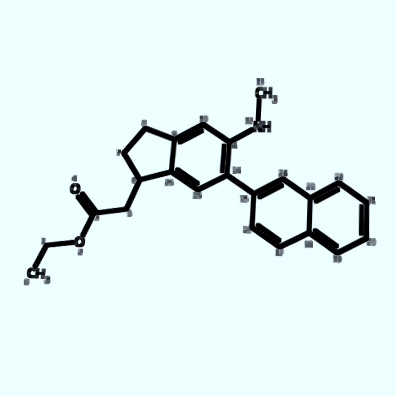 CCOC(=O)CC1CCc2cc(NC)c(-c3ccc4ccccc4c3)cc21